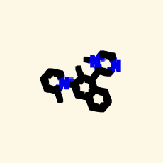 Cc1c(-[n+]2ccccc2C)cc2ccccc2c1-c1cncc[n+]1C